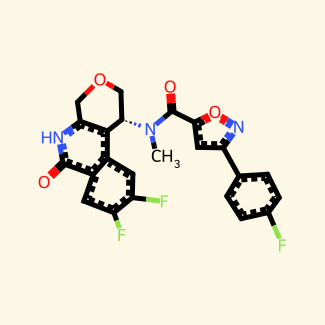 CN(C(=O)c1cc(-c2ccc(F)cc2)no1)[C@H]1COCc2[nH]c(=O)c3cc(F)c(F)cc3c21